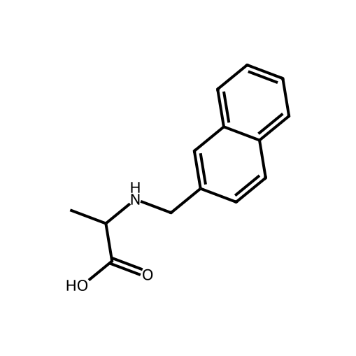 CC(NCc1ccc2ccccc2c1)C(=O)O